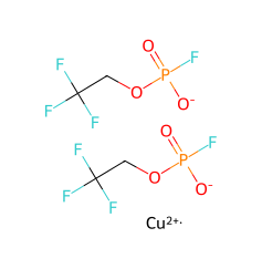 O=P([O-])(F)OCC(F)(F)F.O=P([O-])(F)OCC(F)(F)F.[Cu+2]